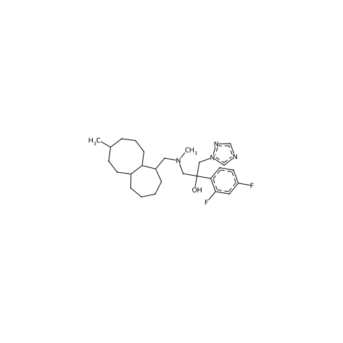 CC1CCCC2C(CCCCC2CN(C)CC(O)(Cn2cncn2)c2ccc(F)cc2F)CC1